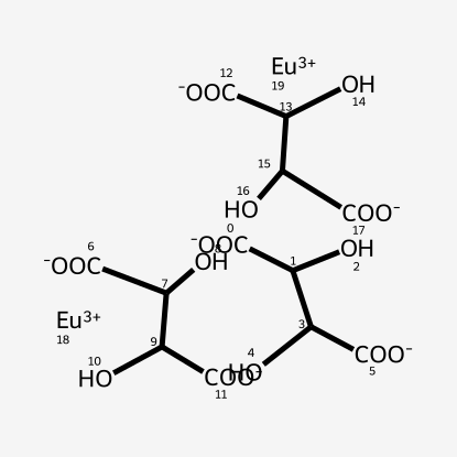 O=C([O-])C(O)C(O)C(=O)[O-].O=C([O-])C(O)C(O)C(=O)[O-].O=C([O-])C(O)C(O)C(=O)[O-].[Eu+3].[Eu+3]